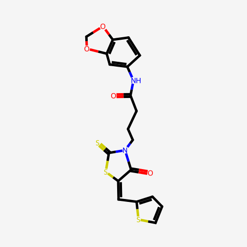 O=C(CCCN1C(=O)/C(=C\c2cccs2)SC1=S)Nc1ccc2c(c1)OCO2